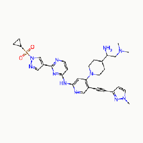 CN(C)CC(N)C1CCN(c2cc(Nc3ccnc(-c4cnn(S(=O)(=O)C5CC5)c4)n3)ncc2C#Cc2ccn(C)n2)CC1